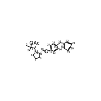 CC(=O)OC(C)(C)CN1CCC[C@H]1COc1ccc(Cc2ccccc2)cc1